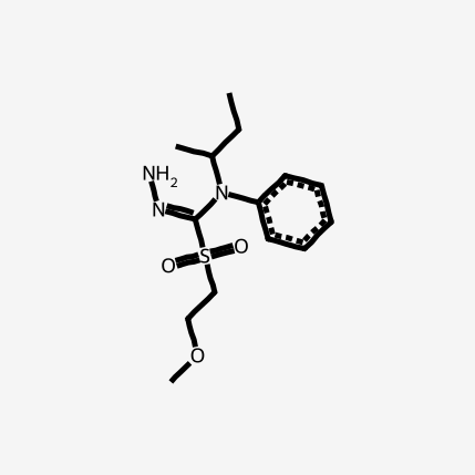 CCC(C)N(/C(=N\N)S(=O)(=O)CCOC)c1ccccc1